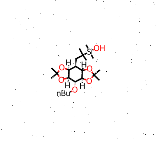 CCCCO[C@@H]1[C@H]2OC(C)(C)O[C@H]2[C@@H](CC(C)(C)[Si](C)(C)O)[C@@H]2OC(C)(C)O[C@@H]12